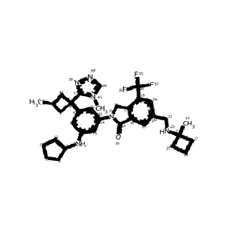 CC1CC(c2cc(NC3CCCC3)cc(N3Cc4c(cc(CNC5(C)CCC5)cc4C(F)(F)F)C3=O)c2)(c2nncn2C)C1